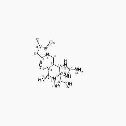 CCCN1C(=N)N[C@@H](CN2C(=O)CN(C)C2=O)C2NC(N)NC21CO